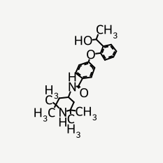 CC(O)c1ccccc1Oc1ccc(C(=O)NC2CC(C)(C)NC(C)(C)C2)cc1